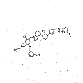 N#Cc1cncc(COc2cc(Cn3ncc4c(-c5cccc(-c6ccc(CNCC7CCC(=O)N7)cc6)c5Cl)cccc43)c(Cl)cc2CNCCO)c1